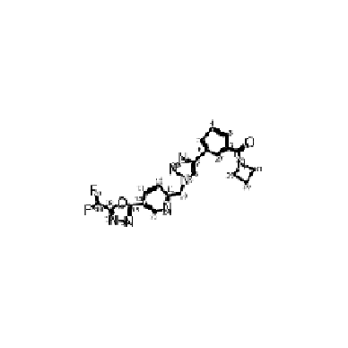 O=C(c1cccc(-c2cn(Cc3ccc(-c4nnc(C(F)F)o4)cn3)nn2)c1)N1CCC1